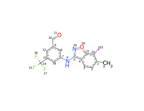 Cc1ccc2c(Nc3cc(C=O)cc(C(F)(F)F)c3)noc2c1I